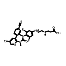 CN1C(=O)N(c2c(F)cc(NCCNCCC(=O)O)cc2F)c2cc(C#N)ccc2-c2cc(Cl)cnc21